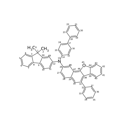 CC1(C)c2ccccc2-c2ccc(N(c3ccc(-c4ccccc4)cc3)c3ccc4cc(-c5ccccc5)c5c6ccccc6oc5c4c3)cc21